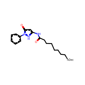 CCCCCCCCCCCCCCCCCC(=O)Nc1cc(=O)n(-c2ccccc2)[nH]1